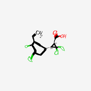 C=Cc1cc([C@@H]2[C@@H](C(=O)O)C2(Cl)Cl)cc(Cl)c1Cl